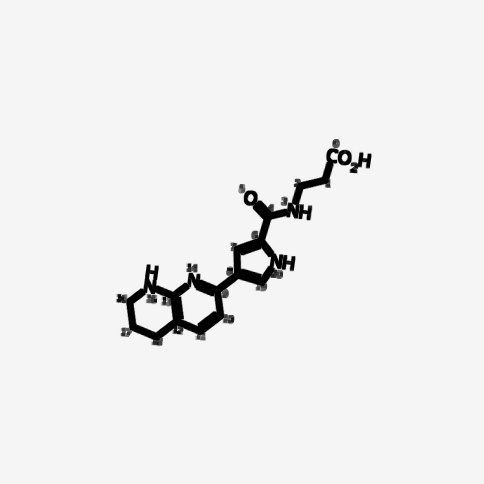 O=C(O)CCNC(=O)c1cc(-c2ccc3c(n2)NCCC3)c[nH]1